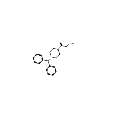 CNCC(=O)C1CCN(C(c2ccccc2)c2ccccc2)CC1